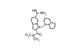 CN(C)C(=O)c1cc2ccc(C(=N)N)cc2n1Cc1cccc2ccccc12